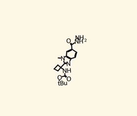 Cn1c(C2(NC(=O)OC(C)(C)C)CCC2)nc2ccc(C(=O)NN)cc21